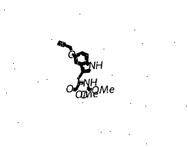 C#CCOc1ccc2[nH]cc(C[C@@H](NC(=O)OC)C(=O)OC)c2c1